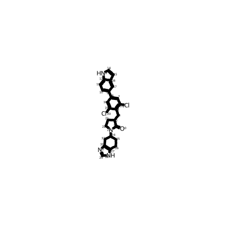 O=C1C(Cc2c(Cl)cc(-c3ccc4[nH]ccc4c3)cc2Cl)CCN1C1CCc2[nH]cnc2C1